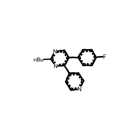 CCCCc1ncc(-c2ccc(F)cc2)c(-c2ccncc2)n1